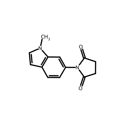 Cn1ccc2ccc(N3C(=O)CCC3=O)cc21